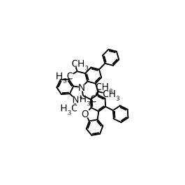 Cc1cc(-c2ccccc2)c2c(oc3ccccc32)c1-c1n(-c2c(C(C)C)cc(-c3ccccc3)cc2C(C)C)c2ccccc2[n+]1C